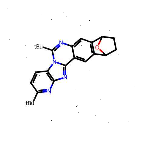 CC(C)(C)c1ccc2c(n1)nc1c3cc4c(cc3nc(C(C)(C)C)n21)C1CCC4O1